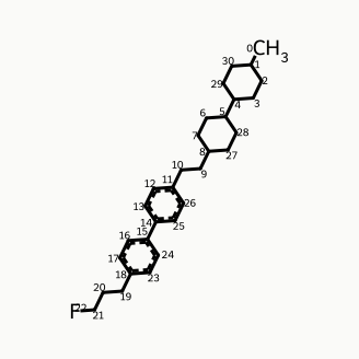 CC1CCC(C2CCC(CCc3ccc(-c4ccc(CCCF)cc4)cc3)CC2)CC1